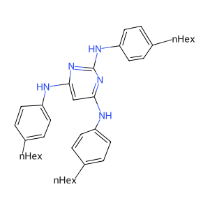 CCCCCCc1ccc(Nc2cc(Nc3ccc(CCCCCC)cc3)nc(Nc3ccc(CCCCCC)cc3)n2)cc1